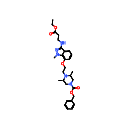 CCOC(=O)CCNc1nn(C)c2c(OCCN3[C@H](C)CN(C(=O)OCc4ccccc4)C[C@@H]3C)cccc12